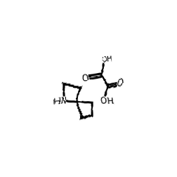 C1CC2(C1)CCN2.O=C(O)C(=O)O